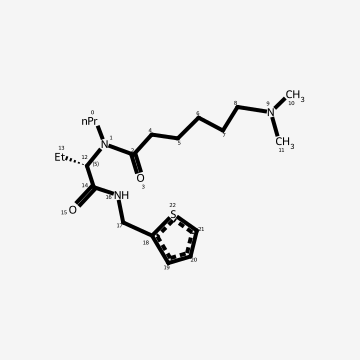 CCCN(C(=O)CCCCCN(C)C)[C@@H](CC)C(=O)NCc1cccs1